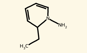 CCC1C=CC=CN1N